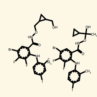 Cc1cc(I)ccc1Nc1c(C(=O)NOC(C)(O)C2CC2)cc(Br)c(F)c1F.Cc1cc(I)ccc1Nc1c(C(=O)NOCC2CC2CO)cc(Br)c(F)c1F